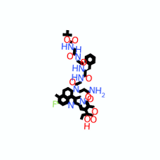 CC[C@@]1(O)C(=O)OCc2c1cc1n(c2=O)Cc2c-1nc1cc(F)c(C)c3c1c2[C@@H](N(CCC(N)=O)C(=O)CNC(=O)[C@H](Cc1ccccc1)NC(=O)CNC(=O)CNC(=O)OC(C)(C)C)CC3